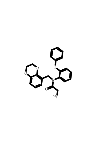 O=C(C[18F])N(Cc1cccc2c1OCCO2)c1ccccc1Oc1ccccc1